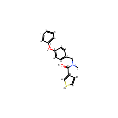 CN(Cc1ccc(Oc2ccccc2)cc1)C(=O)c1ccsc1